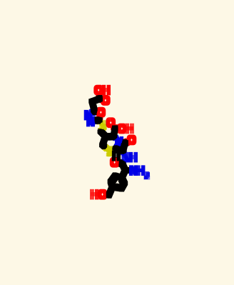 NC(C(=O)NC1C(=O)N2C(C(=O)O)=C(CSc3nnc(CC(=O)O)o3)CS[C@@H]12)c1ccc(CO)cc1